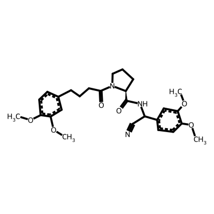 COc1ccc(CCCC(=O)N2CCC[C@H]2C(=O)NC(C#N)c2ccc(OC)c(OC)c2)cc1OC